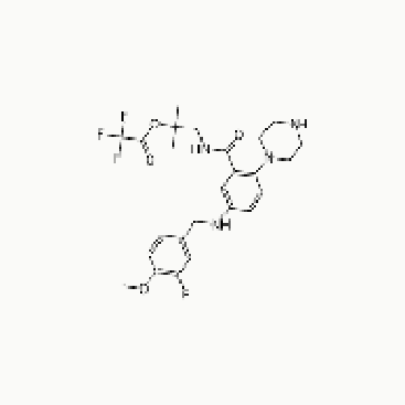 COc1ccc(CNc2ccc(N3CCNCC3)c(C(=O)NCC(C)(C)OC(=O)C(F)(F)F)c2)cc1F